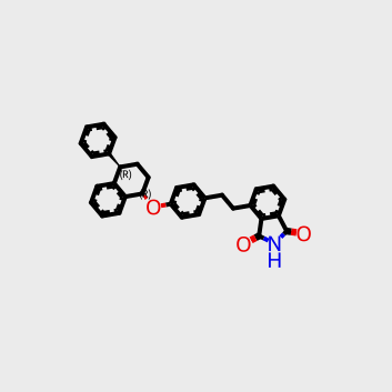 O=C1NC(=O)c2c(CCc3ccc(O[C@@H]4CC[C@H](c5ccccc5)c5ccccc54)cc3)cccc21